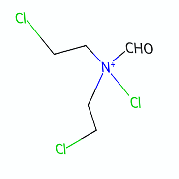 O=C[N+](Cl)(CCCl)CCCl